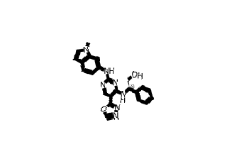 Cn1ccc2ccc(Nc3ncc(-c4nnco4)c(N[C@H](CO)c4ccccc4)n3)cc21